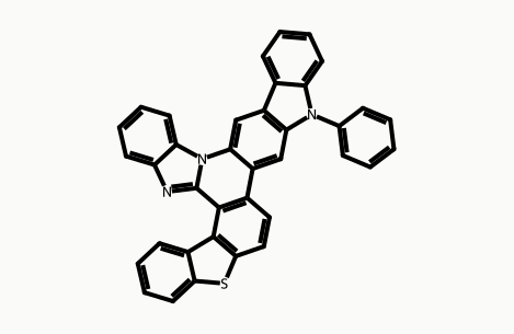 c1ccc(-n2c3ccccc3c3cc4c(cc32)c2ccc3sc5ccccc5c3c2c2nc3ccccc3n42)cc1